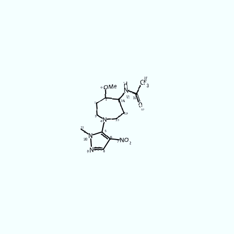 COC1CCN(c2c([N+](=O)[O-])cnn2C)CCC1NC(=O)C(F)(F)F